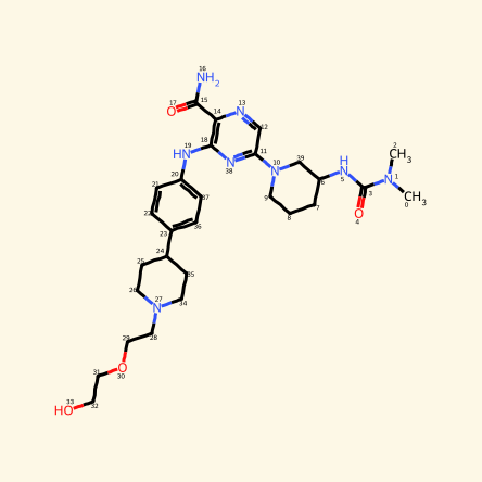 CN(C)C(=O)NC1CCCN(c2cnc(C(N)=O)c(Nc3ccc(C4CCN(CCOCCO)CC4)cc3)n2)C1